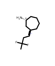 CC(F)(F)C/C=C1/CCCC[C@@H](N)C1